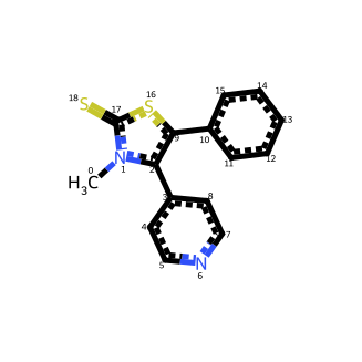 Cn1c(-c2ccncc2)c(-c2ccccc2)sc1=S